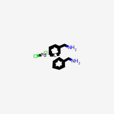 NCc1ccccc1.NCc1ccccc1.[Cl][Pd][Cl]